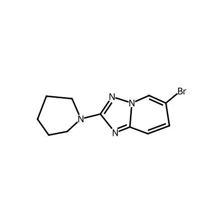 Brc1ccc2nc(N3CCCCC3)nn2c1